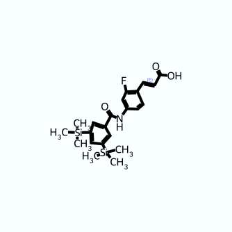 C[Si](C)(C)c1cc(C(=O)Nc2ccc(/C=C/C(=O)O)c(F)c2)cc([Si](C)(C)C)c1